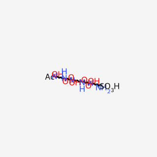 CC(=O)N(O)CCCCCNC(=O)CCC(=O)N(O)CCCCCNC(=O)CCC(=O)N(O)CCCCC(N)CS(=O)(=O)O